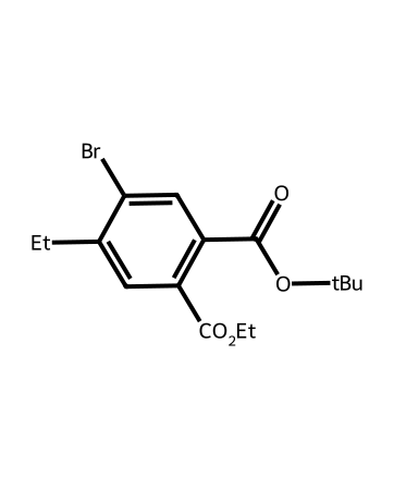 CCOC(=O)c1cc(CC)c(Br)cc1C(=O)OC(C)(C)C